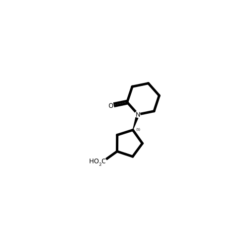 O=C(O)C1CC[C@H](N2CCCCC2=O)C1